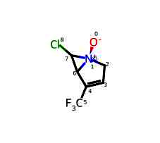 [O-][N@@+]12CC=C(C(F)(F)F)C1C2Cl